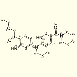 CCOCC(=O)n1ccc(N2CCCC3=C2NCC(C(=O)N2CCCCC2)=C3)cc1=N